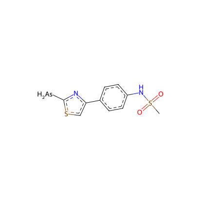 CS(=O)(=O)Nc1ccc(-c2csc([AsH2])n2)cc1